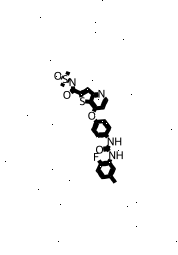 Cc1ccc(F)c(NC(=O)Nc2ccc(Oc3ccnc4cc(C(=O)N=S(C)(C)=O)sc34)cc2)c1